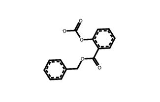 [O]C(=O)Oc1ccccc1C(=O)OCc1ccccc1